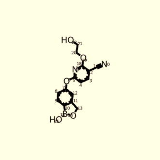 N#Cc1ccc(Oc2ccc3c(c2)COB3O)nc1OCCO